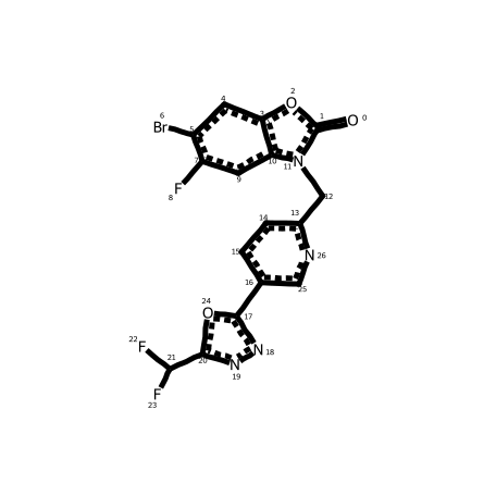 O=c1oc2cc(Br)c(F)cc2n1Cc1ccc(-c2nnc(C(F)F)o2)cn1